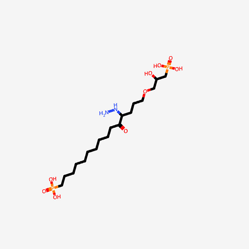 NNC(CCCOCC(O)CP(=O)(O)O)C(=O)CCCCCCCCCCP(=O)(O)O